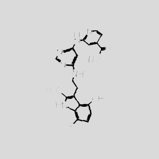 Cc1[nH]c2c(F)ccc(C)c2c1CCNc1cc(Nc2cc(C(=O)O)ccn2)ncn1